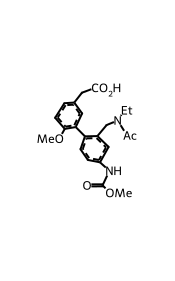 CCN(Cc1cc(NC(=O)OC)ccc1-c1cc(CC(=O)O)ccc1OC)C(C)=O